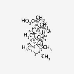 C[C@H]1[C@H](C)CC[C@]2(C)CC[C@]3(C)C(=CC[C@@H]4[C@@]5(C)C(=O)CCC(C)(C(=O)O)C5CC[C@]43C)[C@H]12